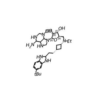 CCN(C[C@H]1O[C@@H](N2CNC3C(N)NCN(C)C32)[C@H](O)[C@@H]1O)[C@H]1C[C@@H](CCC2Nc3ccc(C(C)(C)C)cc3N2)C1